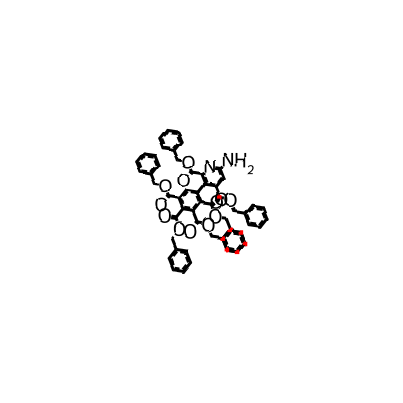 Nc1cc(C(=O)OCc2ccccc2)c(-c2cc(C(=O)OCc3ccccc3)c(C(=O)OCc3ccccc3)c(C(=O)OCc3ccccc3)c2C(=O)OCc2ccccc2)c(C(=O)OCc2ccccc2)n1